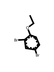 C[CH]Oc1ccc(Br)cc1Br